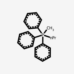 CCCP(C)(c1ccccc1)(c1ccccc1)c1ccccc1